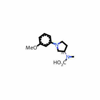 COc1cccc(N2CC[C@H](N(C)C(=O)O)C2)c1